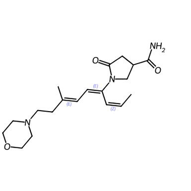 C\C=C/C(=C\C=C(/C)CCN1CCOCC1)N1CC(C(N)=O)CC1=O